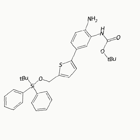 CC(C)(C)OC(=O)Nc1cc(-c2ccc(CO[Si](c3ccccc3)(c3ccccc3)C(C)(C)C)s2)ccc1N